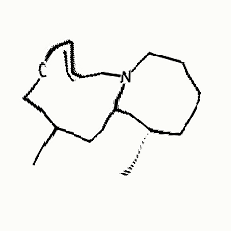 CC1CC/C=C/N2CCCC[C@H](C)C2C1